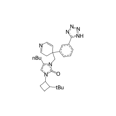 CCCCc1cn(C2CCC2C(C)(C)C)c(=O)n1CC1(c2cccc(-c3nnn[nH]3)c2)C=CN=CC1